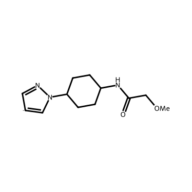 COCC(=O)NC1CCC(n2c[c]cn2)CC1